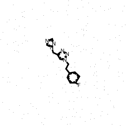 Fc1ccc(CCn2cc(Cn3cncn3)nn2)cc1